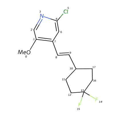 COc1cnc(Cl)cc1C=CC1CCC(F)(F)CC1